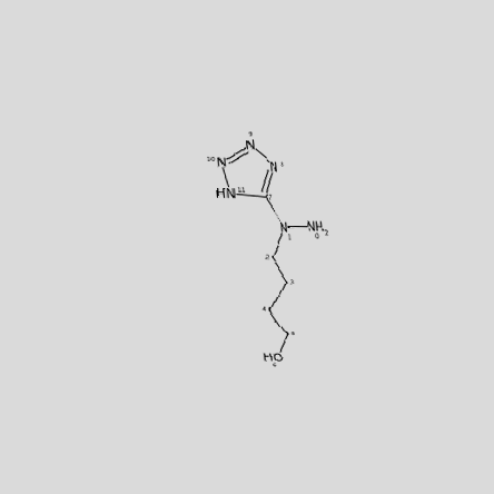 NN(CCCCO)c1nnn[nH]1